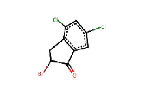 O=C1c2cc(Cl)cc(Cl)c2CC1Br